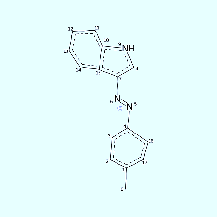 Cc1ccc(/N=N/c2c[nH]c3ccccc23)cc1